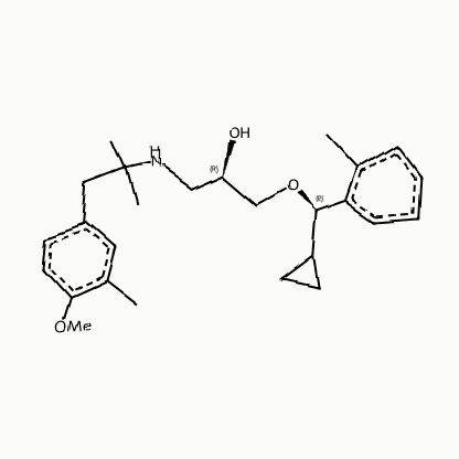 COc1ccc(CC(C)(C)NC[C@@H](O)CO[C@@H](c2ccccc2C)C2CC2)cc1C